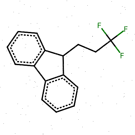 FC(F)(F)CCC1c2ccccc2-c2ccccc21